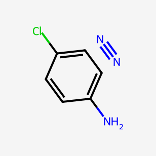 N#N.Nc1ccc(Cl)cc1